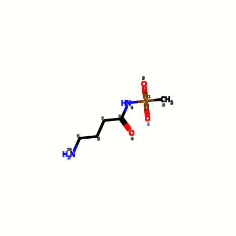 CS(=O)(=O)NC(=O)CCCN